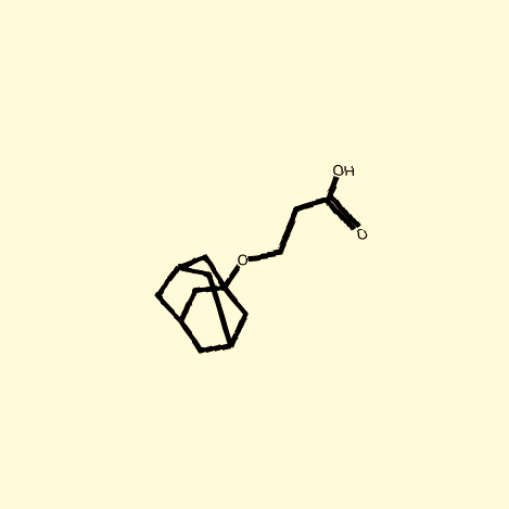 O=C(O)CCOC12CC3CC(CC(C3)C1)C2